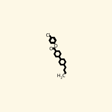 C=CCCC1CCC(C2CCC(C(=O)Oc3ccc(Cl)cc3)CC2)CC1